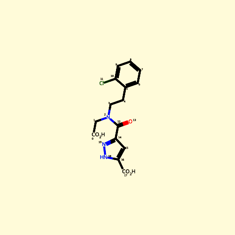 O=C(O)CN(CCc1ccccc1Cl)C(=O)c1cc(C(=O)O)[nH]n1